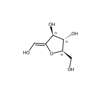 OC=C1O[C@H](CO)[C@@H](O)[C@@H]1O